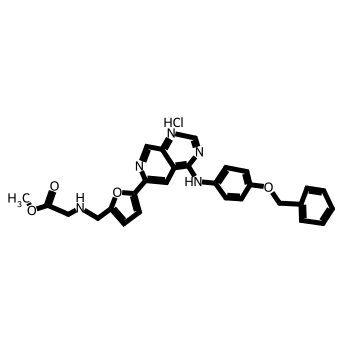 COC(=O)CNCc1ccc(-c2cc3c(Nc4ccc(OCc5ccccc5)cc4)ncnc3cn2)o1.Cl